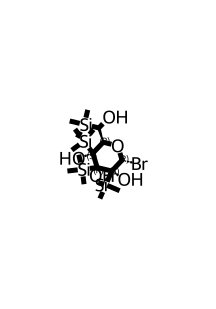 C[Si](C)(C)C(O)[C@H]1O[C@H](Br)[C@@](O)([Si](C)(C)C)[C@](O)([Si](C)(C)C)[C@@]1(O)[Si](C)(C)C